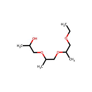 [CH2]COCC(C)OCC(C)OCC(C)O